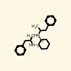 CC(Cc1ccccc1)N[C@H]1CCCC[C@@H]1NC(C)Cc1ccccc1